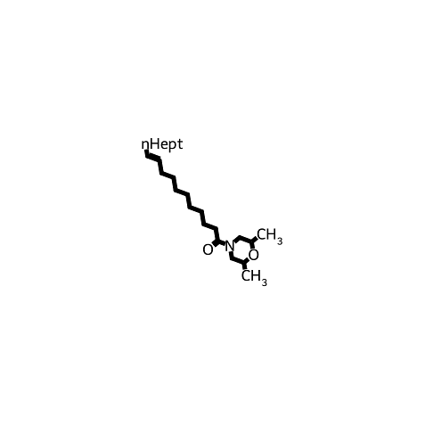 CCCCCCC/C=C/CCCCCCCCC(=O)N1CC(C)OC(C)C1